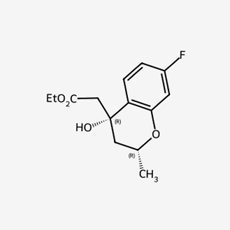 CCOC(=O)C[C@]1(O)C[C@@H](C)Oc2cc(F)ccc21